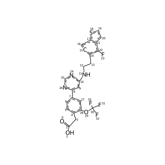 O=C(O)Cc1ccc(-c2cc(NCCc3ccc4sccc4c3F)ncn2)cc1OC(F)(F)F